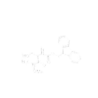 CON(C)C(=O)C(CO)NC(=O)OCC1c2ccccc2-c2ccccc21